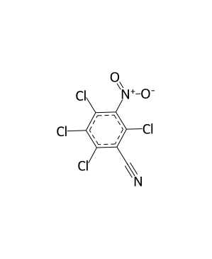 N#Cc1c(Cl)c(Cl)c(Cl)c([N+](=O)[O-])c1Cl